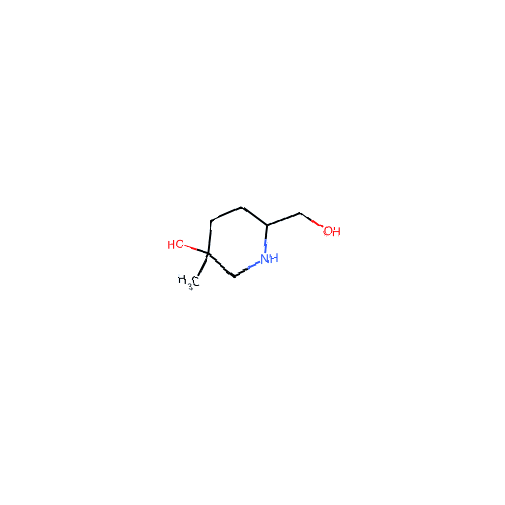 CC1(O)CCC(CO)NC1